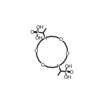 CC(N1CCOCCOCCN(C(C)P(=O)(O)O)CCOCCOCC1)P(=O)(O)O